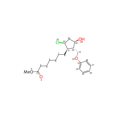 COC(=O)CCCCCC[C@@H]1[C@@H](COc2ccccc2)[C@H](O)C[C@@H]1Cl